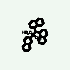 CC(C(=O)O)(c1ccc2ccccc2c1)C(c1cccc2ccccc12)c1cccc2ccccc12